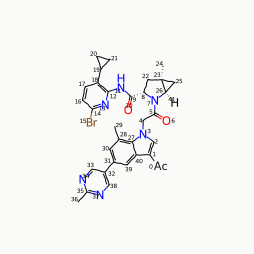 CC(=O)c1cn(CC(=O)N2[C@H](C(=O)Nc3nc(Br)ccc3C3CC3)C[C@@]3(C)C[C@@H]23)c2c(C)cc(-c3cnc(C)nc3)cc12